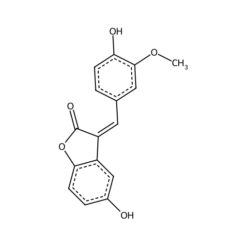 COc1cc(C=C2C(=O)Oc3ccc(O)cc32)ccc1O